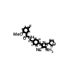 COc1ccc(F)cc1C(=O)NCc1ccc(-c2nn([C@H]3CCOC3)c(N)c2C#N)cc1